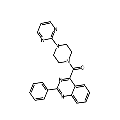 O=C(c1nc(-c2ccccc2)nc2ccccc12)N1CCN(c2ncccn2)CC1